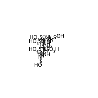 CN(CCSCCO)c1nc(Cl)nc(Nc2ccc(S(=O)(=O)O)c(/N=N/c3c(S(=O)(=O)O)cc4cc(S(=O)(=O)O)c(/N=N/c5cc(Nc6nc(Cl)nc(N(C)CCSCCO)n6)ccc5S(=O)(=O)O)c(O)c4c3N)c2)n1